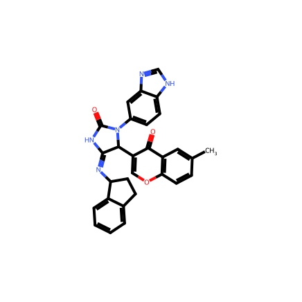 Cc1ccc2occ(C3/C(=N\C4CCc5ccccc54)NC(=O)N3c3ccc4[nH]cnc4c3)c(=O)c2c1